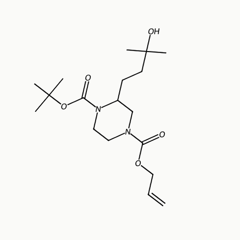 C=CCOC(=O)N1CCN(C(=O)OC(C)(C)C)C(CCC(C)(C)O)C1